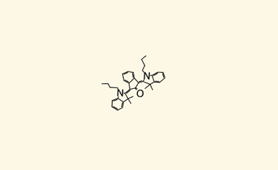 CCCCN1/C(=C2/C(=O)/C(=C3/N(CCCC)c4ccccc4C3(C)C)c3ccccc32)C(C)(C)c2ccccc21